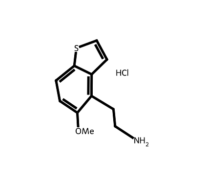 COc1ccc2sccc2c1CCN.Cl